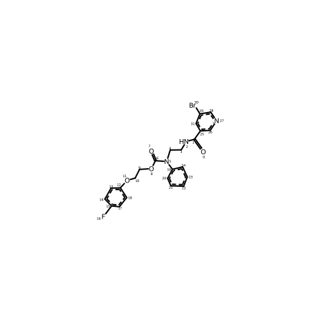 O=C(NCCN(C(=O)OCCOc1ccc(F)cc1)c1ccccc1)c1cncc(Br)c1